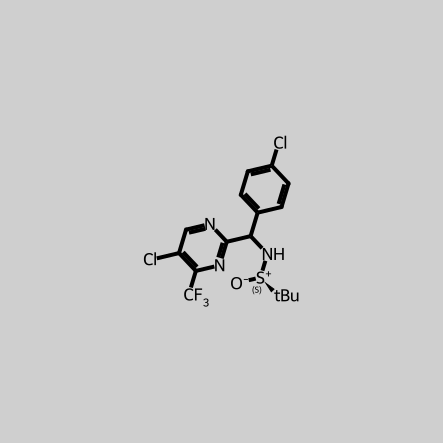 CC(C)(C)[S@@+]([O-])NC(c1ccc(Cl)cc1)c1ncc(Cl)c(C(F)(F)F)n1